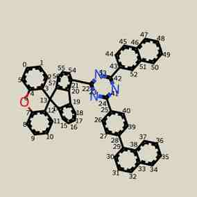 c1ccc2c(c1)Oc1ccccc1C21c2ccccc2-c2c(-c3nc(-c4ccc(-c5cccc6ccccc56)cc4)nc(-c4ccc5ccccc5c4)n3)cccc21